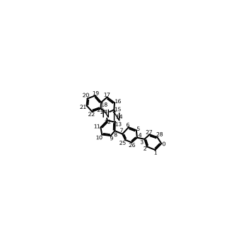 c1ccc(-c2ccc(-c3cccc4c3nc3ccc5ccccc5n34)cc2)cc1